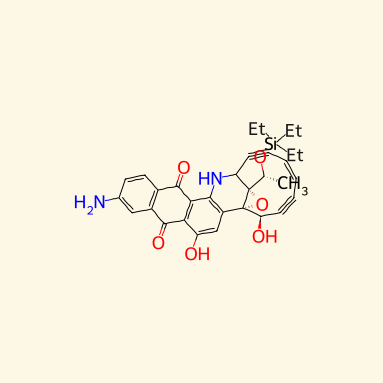 CC[Si](CC)(CC)O[C@H](C)[C@@]12O[C@]13c1cc(O)c4c(c1NC2C#C/C=C\C#C[C@H]3O)C(=O)c1ccc(N)cc1C4=O